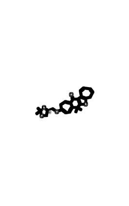 CC1(C)OC[C@H](COC2=CC=C3C(=CC2)C(=O)c2c(oc4c2C=CC=CC4)C3(C)C)O1